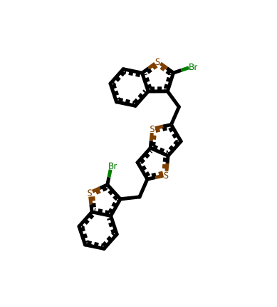 Brc1sc2ccccc2c1Cc1cc2sc(Cc3c(Br)sc4ccccc34)cc2s1